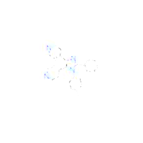 Cc1ccc(-n2c(-c3ccccc3)nc3c4ccncc4c4cnccc4c32)cc1